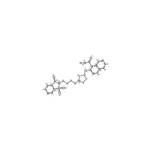 NC(=O)c1c(OC2CCN(CCCCN3C(=O)c4ccccc4S3(=O)=O)C2)ccc2ccccc12